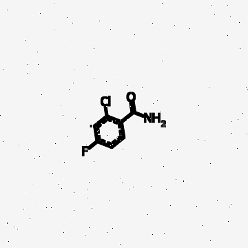 NC(=O)c1ccc(F)[c]c1Cl